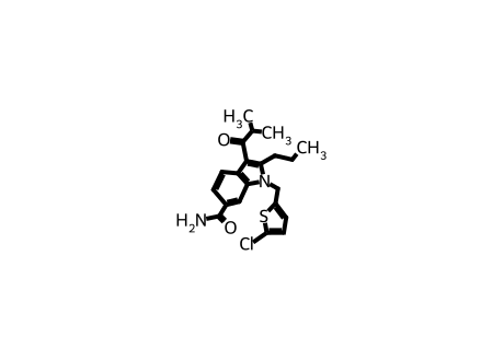 CCCc1c(C(=O)C(C)C)c2ccc(C(N)=O)cc2n1Cc1ccc(Cl)s1